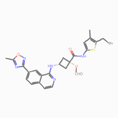 Cc1nc(-c2ccc3ccnc(N[C@H]4C[C@](OC=O)(C(=O)Nc5cc(C)c(CC(C)C)s5)C4)c3c2)no1